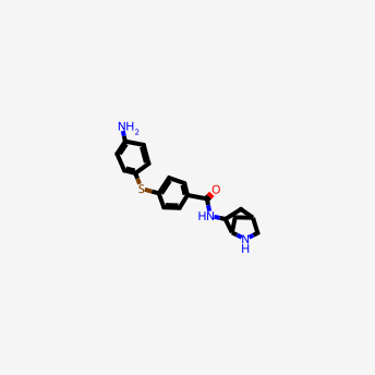 Nc1ccc(Sc2ccc(C(=O)NC3CC4CNC3C4)cc2)cc1